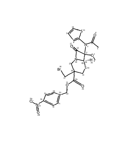 COC1(N(C(C)=O)c2cccs2)C(=O)N2CC(CBr)(C(=O)OCc3ccc([N+](=O)[O-])cc3)CS[C@@H]21